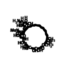 CNC(=O)N[C@H]1C2C[C@@H](O[C@@H]3O[C@H](C)[C@@H](O)[C@H](NNN)[C@@H]3O)/C=C/C=C/C=C/C=C/C=C/C=C/C=C/[C@H](C)[C@@H](O)[C@@H](C)[C@H](C)OC(=O)C[C@H](O)C[C@H](O)CC[C@@H](O)[C@H](O)C[C@H](O)C[C@](O)(C[C@@H]1O)O2